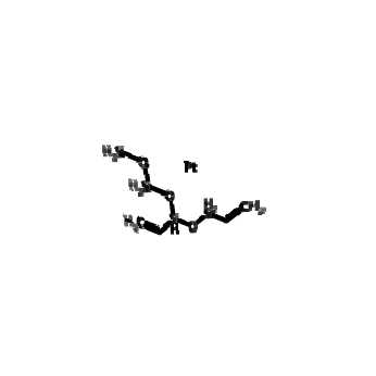 C=C[SiH2]O[SiH](C=C)O[SiH2]O[SiH3].[Pt]